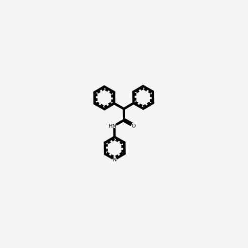 O=C(Nc1ccncc1)C(c1ccccc1)c1ccccc1